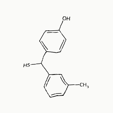 Cc1cccc(C(S)c2ccc(O)cc2)c1